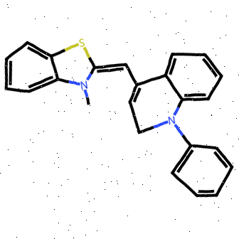 CN1/C(=C\C2=CCN(c3ccccc3)c3ccccc32)Sc2ccccc21